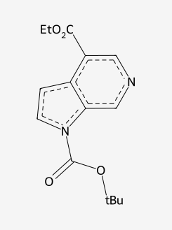 CCOC(=O)c1cncc2c1ccn2C(=O)OC(C)(C)C